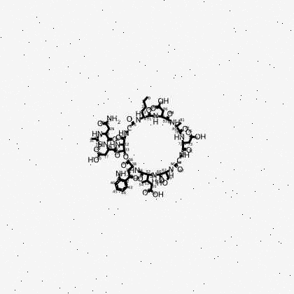 CCCCC1NC(=O)CNC(=O)C(NC(=O)C(CC(=O)O)NC(=O)C(CC(N)=O)NC(C)=S)C(C)OC(=O)C(CC(=O)c2ccccc2N)NC(=O)C(C(C)CC(=O)O)NC(=O)C(CO)NC(=O)CNC(=O)C(CC(=O)O)NC(=O)C(C)NC(=O)C(CC(=O)O)NC1=O